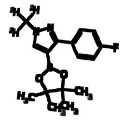 [2H]C([2H])([2H])n1cc(B2OC(C)(C)C(C)(C)O2)c(-c2ccc(F)cc2)n1